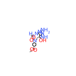 CCOC(=O)c1ccc(N(CCc2c(O)[nH]c3nc(N)nc(N)c23)C(=O)OC(C)(C)C)cc1